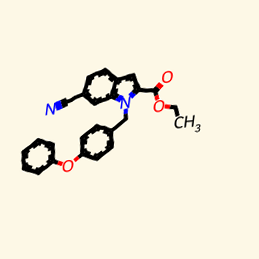 CCOC(=O)c1cc2ccc(C#N)cc2n1Cc1ccc(Oc2ccccc2)cc1